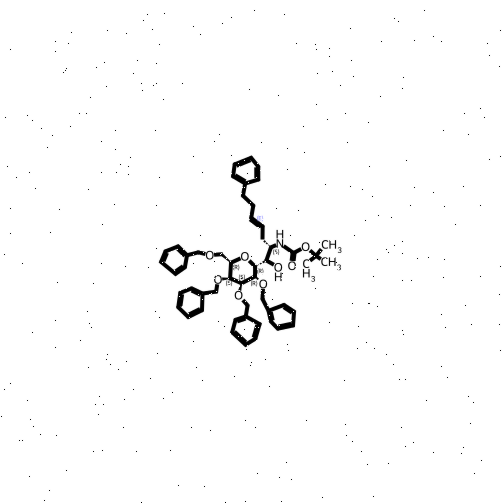 CC(C)(C)OC(=O)N[C@@H](C/C=C/CCc1ccccc1)C(O)[C@H]1O[C@H](COCc2ccccc2)[C@H](OCc2ccccc2)[C@H](OCc2ccccc2)[C@H]1OCc1ccccc1